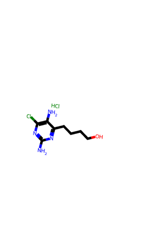 Cl.Nc1nc(Cl)c(N)c(CCCCO)n1